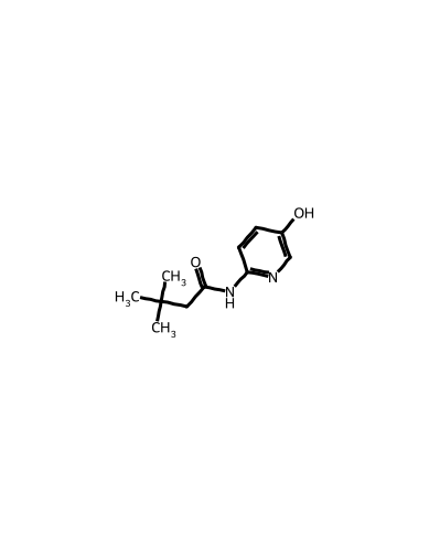 CC(C)(C)CC(=O)Nc1ccc(O)cn1